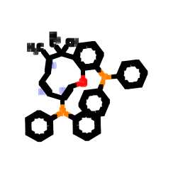 C\C1=C/C=C\C(P(c2ccccc2)c2ccccc2)=C\Oc2c(P(c3ccccc3)c3ccccc3)cccc2C1(C)C